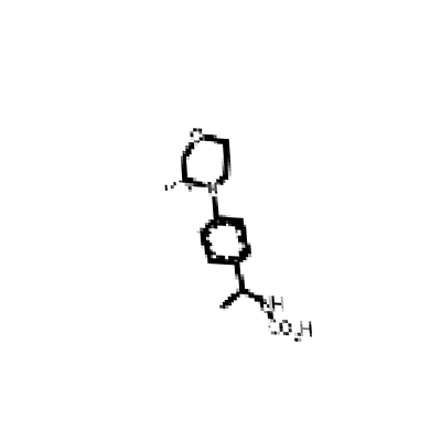 CC(NC(=O)O)c1ccc(N2CCOC[C@H]2C)cc1